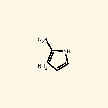 N.O=[N+]([O-])c1ccc[nH]1